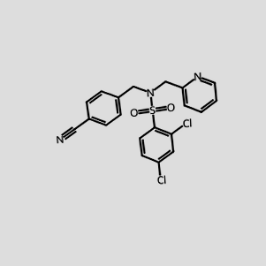 N#Cc1ccc(CN(Cc2ccccn2)S(=O)(=O)c2ccc(Cl)cc2Cl)cc1